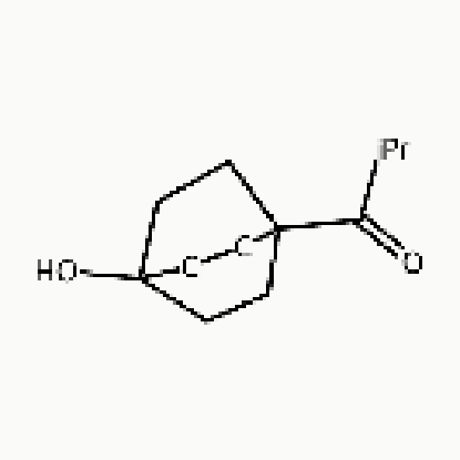 CC(C)C(=O)C12CCC(O)(CC1)CC2